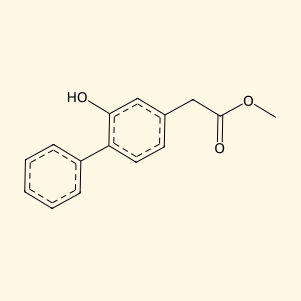 COC(=O)Cc1ccc(-c2ccccc2)c(O)c1